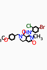 COc1ccc(CN2CCc3cc(=O)n(C)c(Nc4ccc(Br)cc4Cl)c3C2=O)cc1